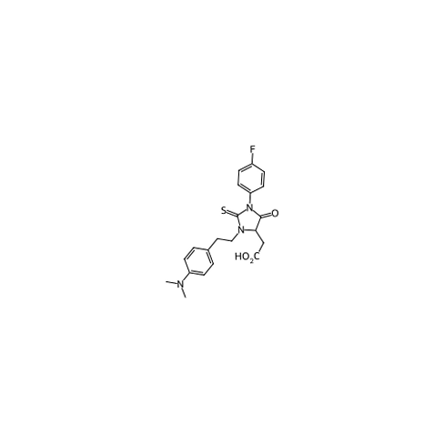 CN(C)c1ccc(CCN2C(=S)N(c3ccc(F)cc3)C(=O)C2CC(=O)O)cc1